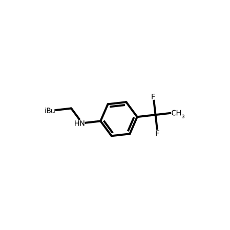 CCC(C)CNc1ccc(C(C)(F)F)cc1